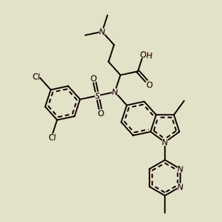 Cc1ccc(-n2cc(C)c3cc(N(C(CCN(C)C)C(=O)O)S(=O)(=O)c4cc(Cl)cc(Cl)c4)ccc32)nn1